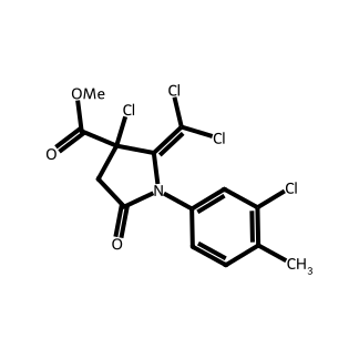 COC(=O)C1(Cl)CC(=O)N(c2ccc(C)c(Cl)c2)C1=C(Cl)Cl